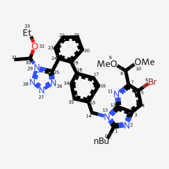 CCCCc1nc2cc(Br)c(C(OC)OC)nc2n1Cc1ccc(-c2ccccc2-c2nnnn2C(C)OCC)cc1